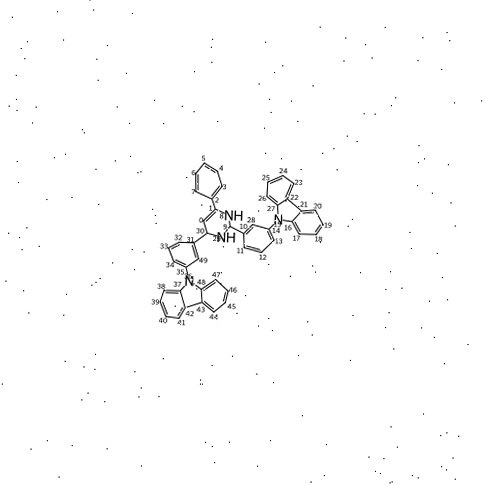 C1=C(c2ccccc2)NC(c2cccc(-n3c4ccccc4c4ccccc43)c2)NC1c1cccc(-n2c3ccccc3c3ccccc32)c1